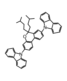 CC(C)CCC1(CCC(C)C)Oc2cc(-n3c4ccccc4c4ccccc43)ccc2-c2ccc(-n3c4ccccc4c4ccccc43)cc21